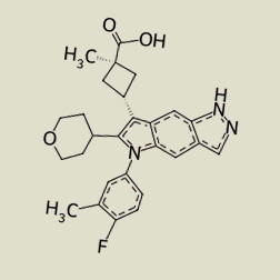 Cc1cc(-n2c(C3CCOCC3)c([C@H]3C[C@](C)(C(=O)O)C3)c3cc4[nH]ncc4cc32)ccc1F